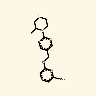 COc1cncc(NCc2cnc(N3CCNCC3C)nc2)n1